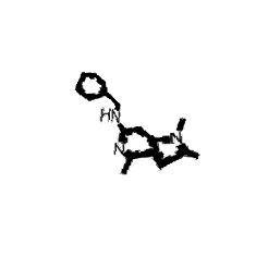 Cc1nc(NCc2ccccc2)cc2c1cc(C)n2C